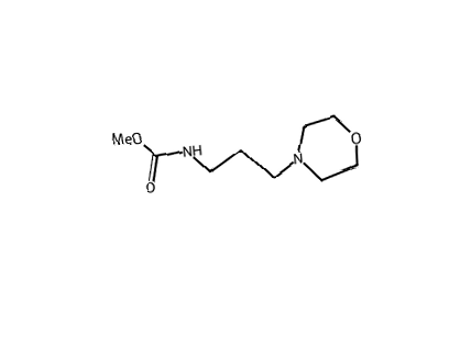 COC(=O)NCCCN1CCOCC1